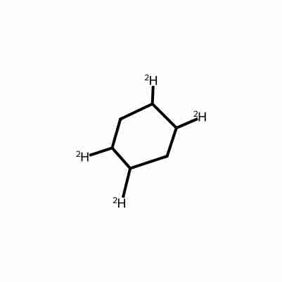 [2H]C1CC([2H])C([2H])CC1[2H]